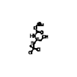 CC(C)(C)OC(=O)N[C@@H](CO)[C@H]1CC1(Cl)Cl